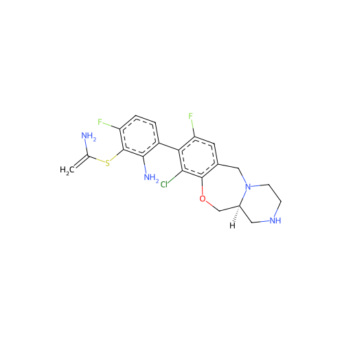 C=C(N)Sc1c(F)ccc(-c2c(F)cc3c(c2Cl)OC[C@@H]2CNCCN2C3)c1N